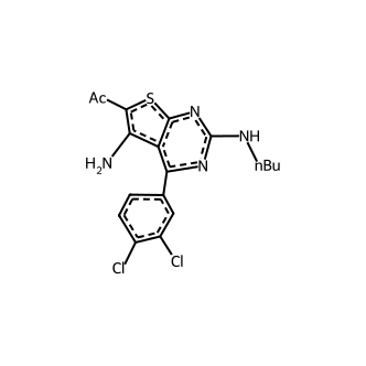 CCCCNc1nc(-c2ccc(Cl)c(Cl)c2)c2c(N)c(C(C)=O)sc2n1